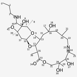 CCCNC[C@]1(O)[C@H](C)O[C@@H](OC2C(C)CC(C)(O)CC(C)CNC(C)C(O)C(C)(O)COC(=O)C2C)C[C@@]1(C)OC